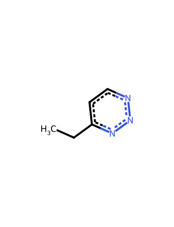 CCc1ccnnn1